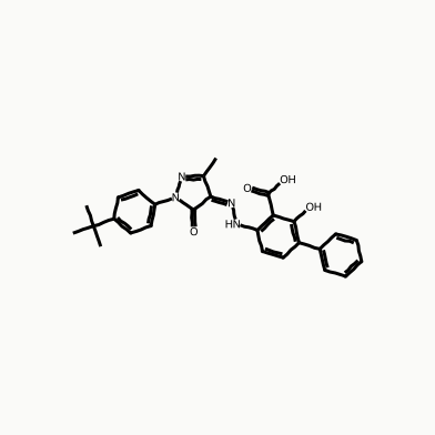 CC1=NN(c2ccc(C(C)(C)C)cc2)C(=O)C1=NNc1ccc(-c2ccccc2)c(O)c1C(=O)O